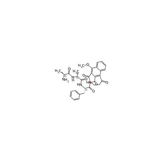 COc1c2c(C(=O)NC(=O)[C@H](Cc3ccccc3)NC(=O)[C@H](C)NC(=O)[C@H](C)N)c(c3ccccc13)C(=O)CCCC2=O